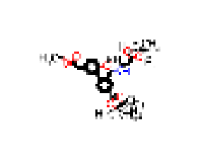 CCOC(=O)Cc1ccc(OC)c(-c2ccc(B3OC(C)(C)C(C)(C)O3)cc2CNCCC(=O)OC(C)(C)C)c1